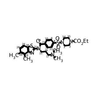 CCOC(=O)N1CCN(S(=O)(=O)c2ccc(C(=O)N(CCCN(C)C)c3nc4c(C)c(C)ccc4s3)cc2)CC1